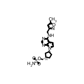 Cc1cc(CNc2ncnc3c2ccn3[C@H]2CC[C@H](COS(N)(=O)=O)C2)no1